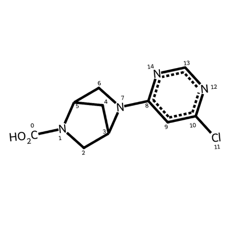 O=C(O)N1CC2CC1CN2c1cc(Cl)ncn1